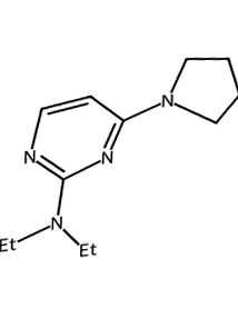 CCN(CC)c1nccc(N2CCCC2)n1